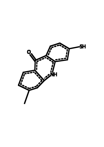 Cc1ccc2c(=O)c3ccc(S)cc3[nH]c2c1